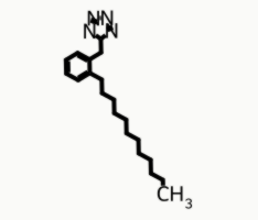 CCCCCCCCCCCCc1ccccc1CC1N=NN=N1